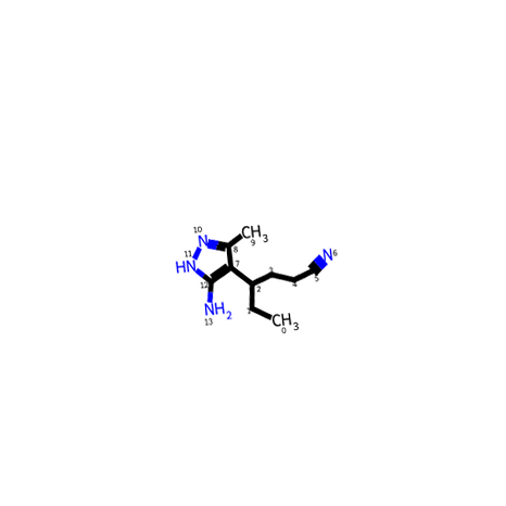 CCC(CCC#N)c1c(C)n[nH]c1N